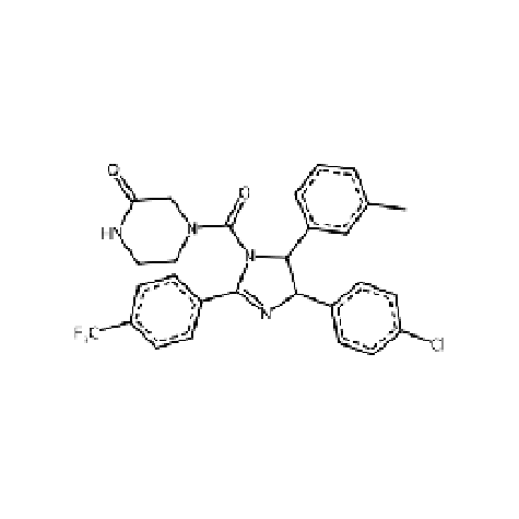 Cc1cccc(C2C(c3ccc(Cl)cc3)N=C(c3ccc(C(F)(F)F)cc3)N2C(=O)N2CCNC(=O)C2)c1